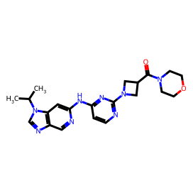 CC(C)n1cnc2cnc(Nc3ccnc(N4CC(C(=O)N5CCOCC5)C4)n3)cc21